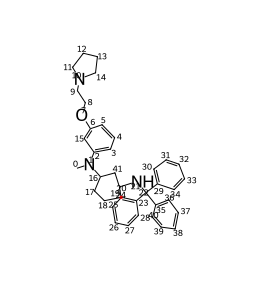 CN(c1cccc(OCCN2CCCC2)c1)C1CCCC(NC(c2ccccc2)(c2ccccc2)c2ccccc2)C1